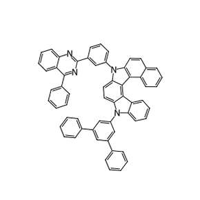 c1ccc(-c2cc(-c3ccccc3)cc(-n3c4ccccc4c4c5c6c7ccccc7ccc6n(-c6cccc(-c7nc(-c8ccccc8)c8ccccc8n7)c6)c5ccc43)c2)cc1